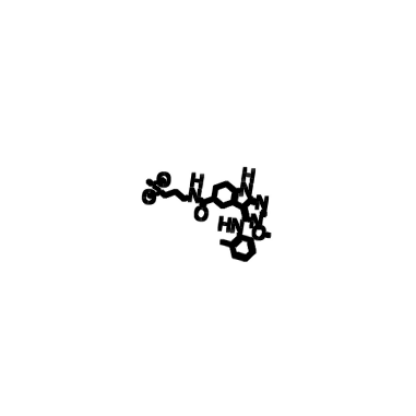 COc1cccc(C)c1Nc1ncnc2[nH]c3c(c12)CC(C(=O)NCCCS(C)(=O)=O)CC3